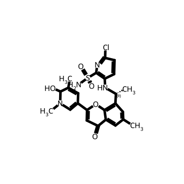 CC1=CC(c2cc(=O)c3cc(C)cc([C@@H](C)Nc4ccc(Cl)nc4S(N)(=O)=O)c3o2)=CN(C)C1O